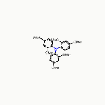 COc1ccc(N(c2ccc(OC)cc2OC)c2ccc(OC)cc2OC)c(OC)c1